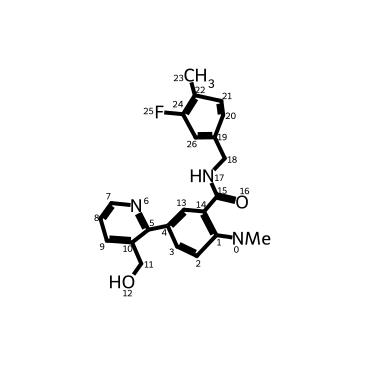 CNc1ccc(-c2ncccc2CO)cc1C(=O)NCc1ccc(C)c(F)c1